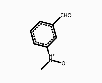 C[NH+]([O-])c1cccc(C=O)c1